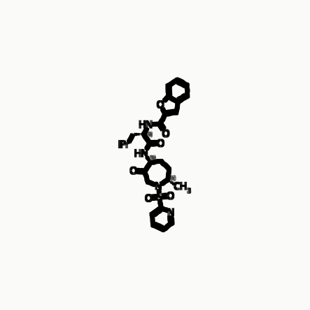 CC(C)C[C@H](NC(=O)c1cc2ccccc2o1)C(=O)N[C@H]1CC[C@H](C)N(S(=O)(=O)c2ccccn2)CC1=O